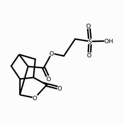 O=C1OC2C3CC(CC13)C2C(=O)OCCS(=O)(=O)O